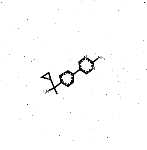 CC(N)(c1ccc(-c2cnc(N)nc2)cc1)C1CC1